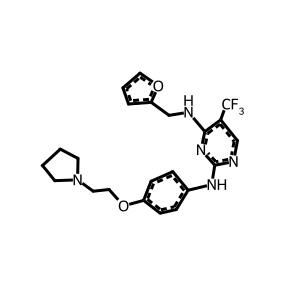 FC(F)(F)c1cnc(Nc2ccc(OCCN3CCCC3)cc2)nc1NCc1ccco1